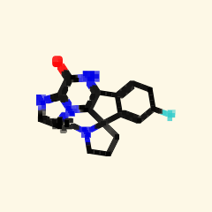 CN1CCCC12C1=CC(F)CC=C1c1[nH]c(=O)c3nccn3c12